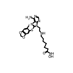 Nc1ncnc2c1nc(Sc1cc3c(cc1I)OCO3)n2CCNCCCCCCC(=O)NO